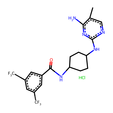 Cc1cnc(NC2CCC(NC(=O)c3cc(C(F)(F)F)cc(C(F)(F)F)c3)CC2)nc1N.Cl